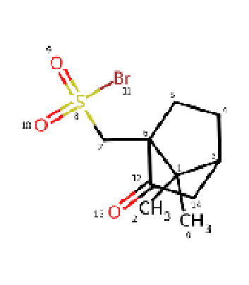 CC1(C)C2CCC1(CS(=O)(=O)Br)C(=O)C2